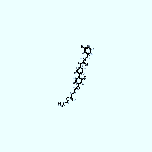 CCOC(=O)CCCOc1ccc(-c2ccc(CC(=O)NCc3cccc(F)c3)nc2)c(F)c1